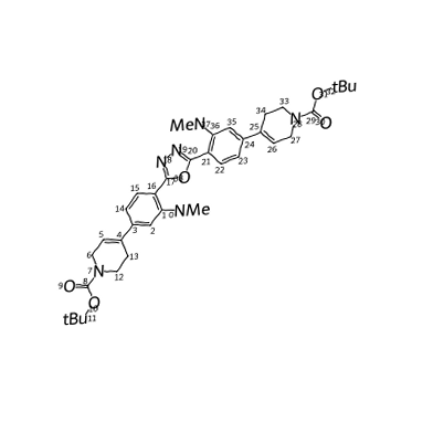 CNc1cc(C2=CCN(C(=O)OC(C)(C)C)CC2)ccc1-c1nnc(-c2ccc(C3=CCN(C(=O)OC(C)(C)C)CC3)cc2NC)o1